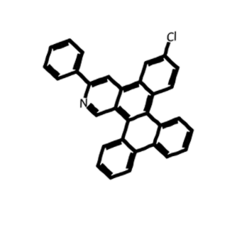 Clc1ccc2c(c1)c1cc(-c3ccccc3)ncc1c1c3ccccc3c3ccccc3c21